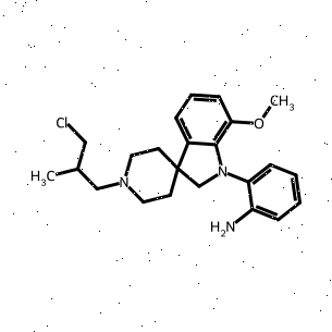 COc1cccc2c1N(c1ccccc1N)CC21CCN(CC(C)CCl)CC1